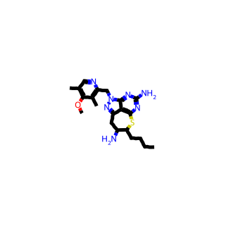 CCCCC1Sc2nc(N)nc3c2c(nn3Cc2ncc(C)c(OC)c2C)CC1N